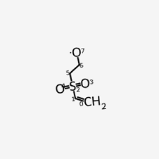 C=CS(=O)(=O)CC[O]